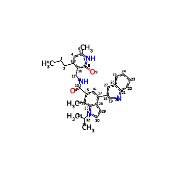 CCCc1cc(C)[nH]c(=O)c1CNC(=O)c1cc(-c2cnc3ccccc3c2)c2ccn(C(C)C)c2c1C